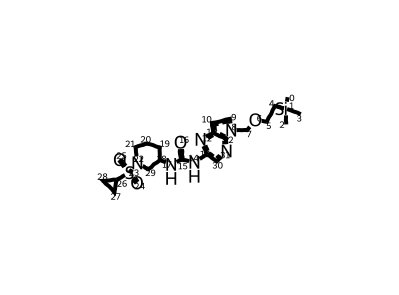 C[Si](C)(C)CCOCn1ccc2nc(NC(=O)NC3CCCN(S(=O)(=O)C4CC4)C3)cnc21